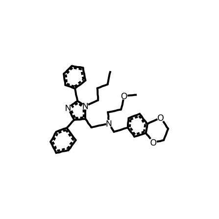 CCCCn1c(-c2ccccc2)nc(-c2ccccc2)c1CN(CCOC)Cc1ccc2c(c1)OCCO2